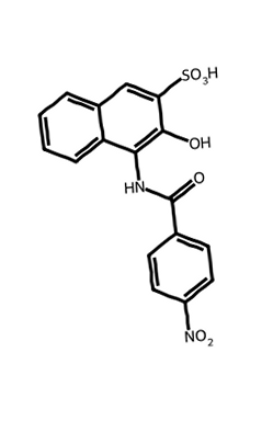 O=C(Nc1c(O)c(S(=O)(=O)O)cc2ccccc12)c1ccc([N+](=O)[O-])cc1